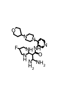 NC(N)C(C(=O)Nc1cnccc1N1CCN(C2CCOCC2)CC1)C1NCC(F)CN1